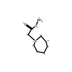 NOC(=O)CN1CCCCCC1